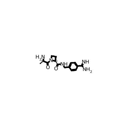 C[C@@H](N)C(=O)N1CC[C@H]1C(=O)NCc1ccc(C(=N)N)cc1